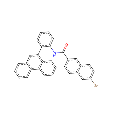 O=C(Nc1ccccc1-c1cc2ccccc2c2ccccc12)c1ccc2cc(Br)ccc2c1